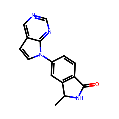 CC1NC(=O)c2ccc(-n3ccc4cncnc43)cc21